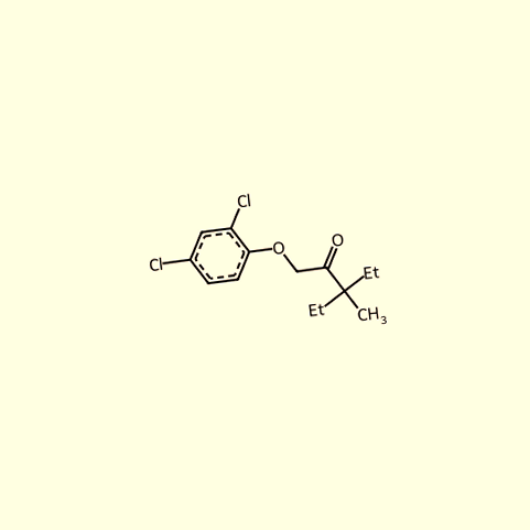 CCC(C)(CC)C(=O)COc1ccc(Cl)cc1Cl